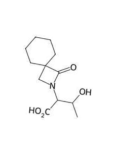 CC(O)C(C(=O)O)N1CC2(CCCCC2)C1=O